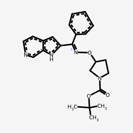 CC(C)(C)OC(=O)N1CCC(O/N=C(\c2ccccc2)c2cc3ccncc3[nH]2)C1